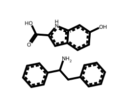 NC(Cc1ccccc1)c1ccccc1.O=C(O)c1cc2ccc(O)cc2[nH]1